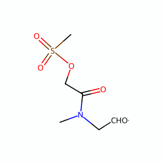 CN(C[C]=O)C(=O)COS(C)(=O)=O